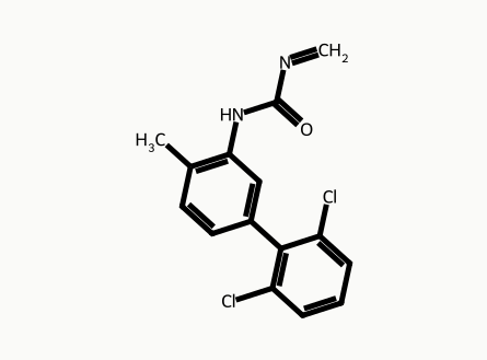 C=NC(=O)Nc1cc(-c2c(Cl)cccc2Cl)ccc1C